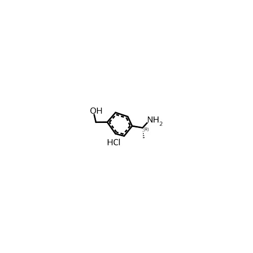 C[C@@H](N)c1ccc(CO)cc1.Cl